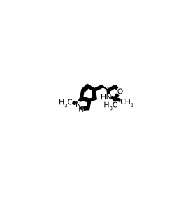 Cn1ncc2cc(C[C@H]3COC(C)(C)N3)ccc21